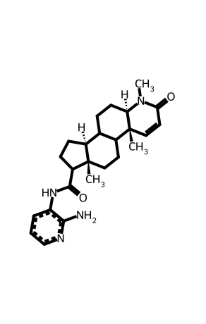 CN1C(=O)C=C[C@]2(C)C3CC[C@]4(C)C(C(=O)Nc5cccnc5N)CC[C@H]4C3CC[C@@H]12